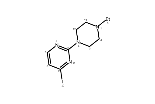 CCN1CCN(c2nccc(I)n2)CC1